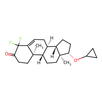 C[C@]12CC[C@H]3[C@@H](CC=C4C(F)(F)C(=O)CC[C@@]43C)[C@@H]1CC[C@@H]2OC1CC1